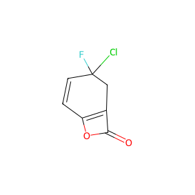 O=C1OC2=C1CC(F)(Cl)C=C2